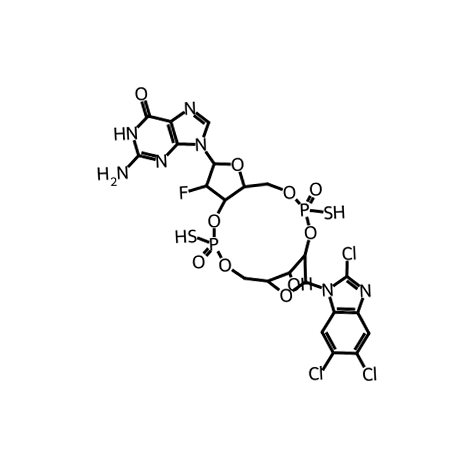 Nc1nc2c(ncn2C2OC3COP(=O)(S)OC4C(O)C(COP(=O)(S)OC3C2F)OC4n2c(Cl)nc3cc(Cl)c(Cl)cc32)c(=O)[nH]1